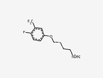 CCCCCCCCCCCCCCOc1ccc(F)c(C(F)(F)F)c1